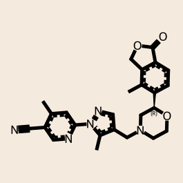 Cc1cc(-n2ncc(CN3CCO[C@H](c4ccc5c(c4C)COC5=O)C3)c2C)ncc1C#N